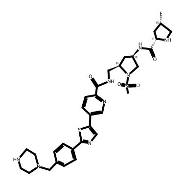 CS(=O)(=O)N1C[C@H](NC(=O)[C@@H]2C[C@H](F)CN2)C[C@@H]1CNC(=O)c1ccc(-c2cnc(-c3ccc(CN4CCNCC4)cc3)s2)cn1